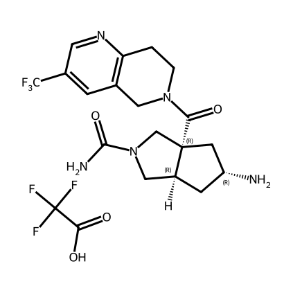 NC(=O)N1C[C@@H]2C[C@@H](N)C[C@]2(C(=O)N2CCc3ncc(C(F)(F)F)cc3C2)C1.O=C(O)C(F)(F)F